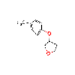 Cc1ccc(OC2CCOC2)cc1